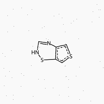 C1=Nc2cscc2SN1